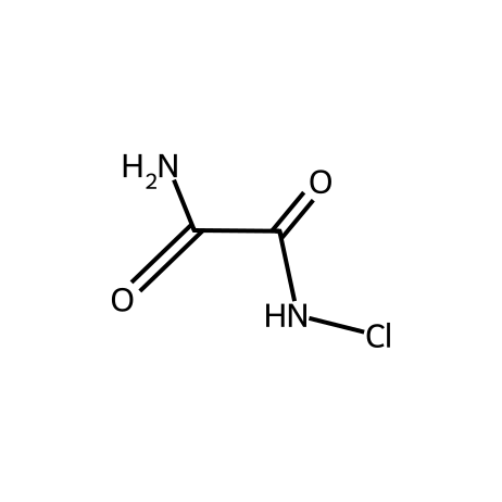 NC(=O)C(=O)NCl